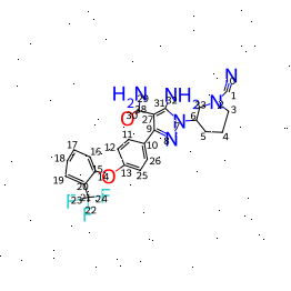 N#CN1CCCC(n2nc(-c3ccc(Oc4ccccc4C(F)(F)F)cc3)c(C(N)=O)c2N)C1